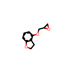 c1cc2c(c(OCC3CO3)c1)CCO2